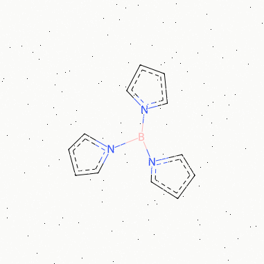 c1ccn(B(n2cccc2)n2cccc2)c1